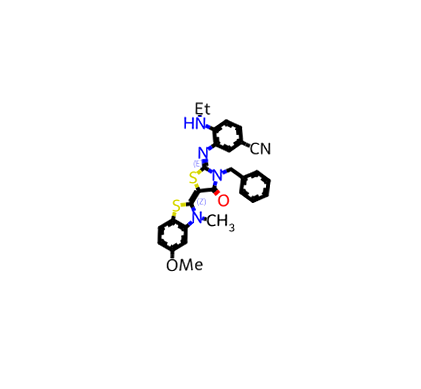 CCNc1ccc(C#N)cc1/N=C1/S/C(=C2\Sc3ccc(OC)cc3N2C)C(=O)N1Cc1ccccc1